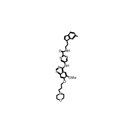 COc1cc2c(Nc3cnc(C(=O)NCCC4C=Cc5ccc(C)cc54)nc3)ncnc2cc1OCCCN1CCOCC1